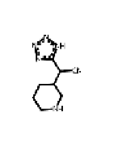 N#CC(c1nnn[nH]1)C1CCCNC1